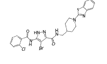 O=C(Nc1[nH]nc(C(=O)NCC2CCN(c3nc4ccccc4s3)CC2)c1Br)c1ccccc1Cl